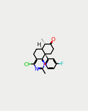 Cc1nc(Cl)c2c(n1)[C@@]1(c3cccc(F)c3)CCC(=O)[C@@H](C)[C@@H]1CC2